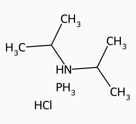 CC(C)NC(C)C.Cl.P